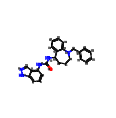 O=C(Nc1cccc2[nH]ncc12)NC1CCCN(Cc2ccccc2)c2ccccc21